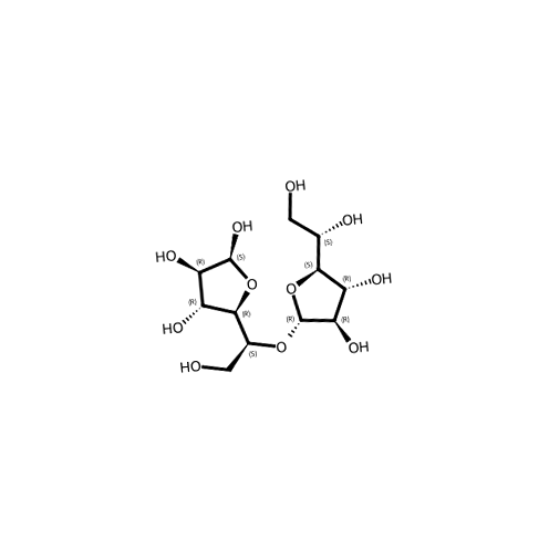 OC[C@H](O[C@@H]1O[C@@H]([C@@H](O)CO)[C@H](O)[C@H]1O)[C@@H]1O[C@H](O)[C@H](O)[C@H]1O